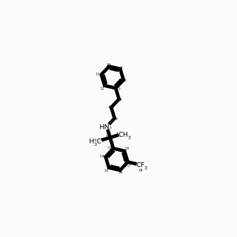 CC(C)(NCCCc1ccccc1)c1cccc(C(F)(F)F)c1